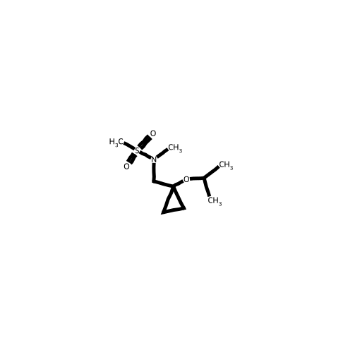 CC(C)OC1(CN(C)S(C)(=O)=O)CC1